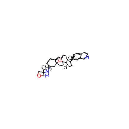 CC1(NC2CCC3=CC4=CCC5(C)C(c6ccc7ccncc7c6)CC[C@H]5[C@@]45CC[C@]3(C2)O5)COC1